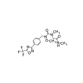 CNC(=O)CN(C)C(=O)N(Cc1ccc(-c2noc(C(F)(F)F)n2)cc1)OC